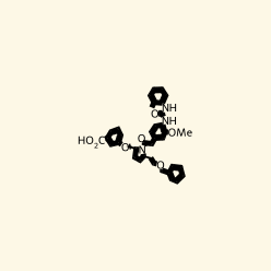 COc1cc(CC(=O)N2[C@@H](CCOCc3ccccc3)CC[C@H]2COc2cccc(C(=O)O)c2)ccc1NC(=O)Nc1ccccc1C